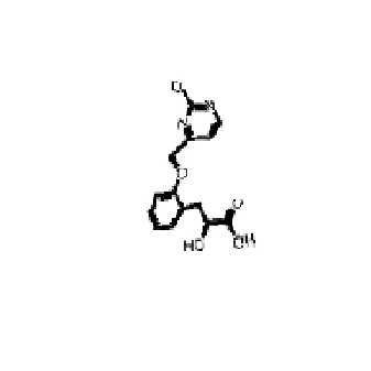 O=C(O)C(O)Cc1ccccc1OCc1ccnc(Cl)n1